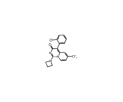 O=c1nc(N2CCC2)n2ccc(C(F)(F)F)cc2c1-c1ccccc1Cl